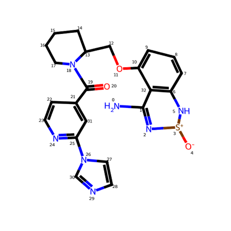 NC1=N[S+]([O-])Nc2cccc(OCC3CCCCN3C(=O)c3ccnc(-n4ccnc4)c3)c21